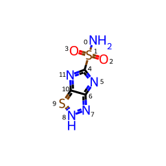 NS(=O)(=O)c1nc2n[nH]sc-2n1